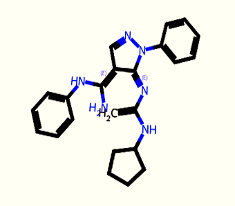 C=C(/N=C1\C(=C(/N)Nc2ccccc2)C=NN1c1ccccc1)NC1CCCC1